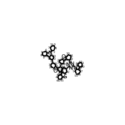 c1ccc(-n2c3ccccc3c3cc(-c4ccc5oc6cccc(-c7ccc8oc9cccc(-c%10nc(-c%11ccc%12c(c%11)sc%11ccccc%11%12)nc(-n%11c%12ccccc%12c%12ccccc%12%11)n%10)c9c8c7)c6c5c4)ccc32)cc1